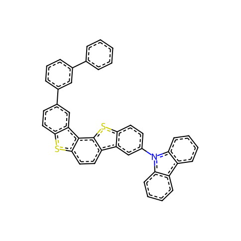 c1ccc(-c2cccc(-c3ccc4sc5ccc6c7cc(-n8c9ccccc9c9ccccc98)ccc7sc6c5c4c3)c2)cc1